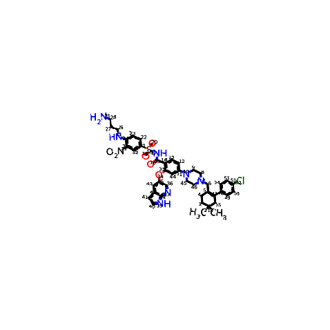 CC1(C)CCC(CN2CCN(c3ccc(C(=O)NS(=O)(=O)c4ccc(NCCCN)c([N+](=O)[O-])c4)c(Oc4cnc5[nH]ccc5c4)c3)CC2)=C(c2ccc(Cl)cc2)C1